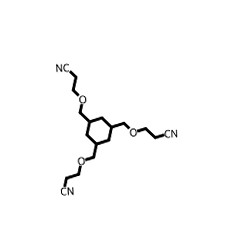 N#CCCOCC1CC(COCCC#N)CC(COCCC#N)C1